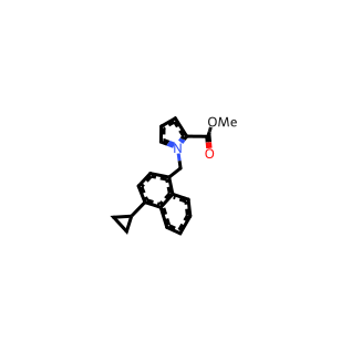 COC(=O)c1cccn1Cc1ccc(C2CC2)c2ccccc12